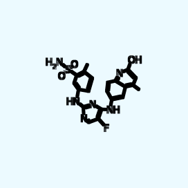 Cc1ccc(Nc2ncc(F)c(Nc3ccc4nc(O)cc(C)c4c3)n2)cc1S(N)(=O)=O